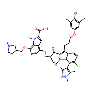 Cc1cc(OCCCC2=C3C(=O)C(CCc4ccc(OCC5CCN(C)C5)c5c4cc(C(=O)O)n5C)C[C@@H](C)N3C3C(c4c(C)nn(C)c4C)=C(Cl)C=CC23)cc(C)c1Cl